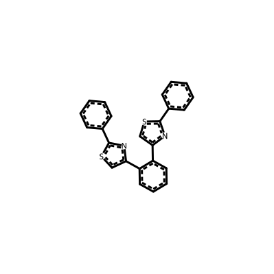 c1ccc(-c2nc(-c3ccccc3-c3csc(-c4ccccc4)n3)cs2)cc1